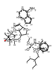 CCC(CC)COC(=O)[C@H](C)NP(=O)(OC[C@H]1O[C@@](/C=N\C)(c2ccc3c(N)ncnn23)C(O[Si](C)(C)C(C)(C)C)C1O[Si](C)(C)C(C)(C)C)Oc1ccccc1